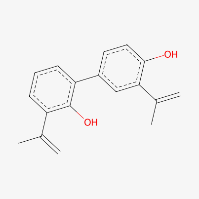 C=C(C)c1cc(-c2cccc(C(=C)C)c2O)ccc1O